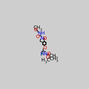 COCCNC(=O)CN1CCc2cc(OC/C(=C/F)CNC(=O)OC(C)(C)C)ccc2C1=O